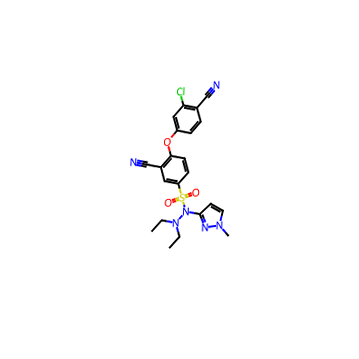 CCN(CC)N(c1ccn(C)n1)S(=O)(=O)c1ccc(Oc2ccc(C#N)c(Cl)c2)c(C#N)c1